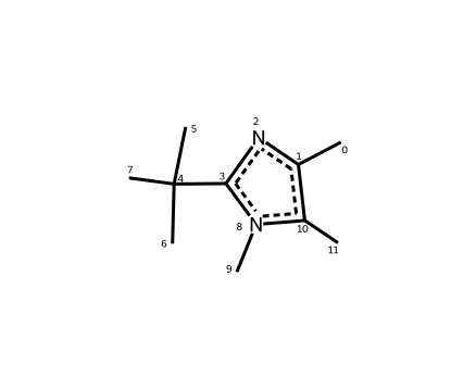 Cc1nc(C(C)(C)C)n(C)c1C